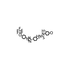 COc1ccc(NC(=S)NCc2ccc(-c3ncn(-c4ccc(OC(F)(F)C(F)(F)F)cc4)n3)cc2)c(C)c1